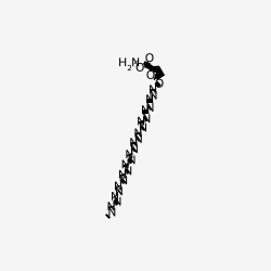 CN=NN=NN=NN=NN=NN=NN=NN=NN=NN=NN=NN=NOc1ccc(C(=O)ON)o1